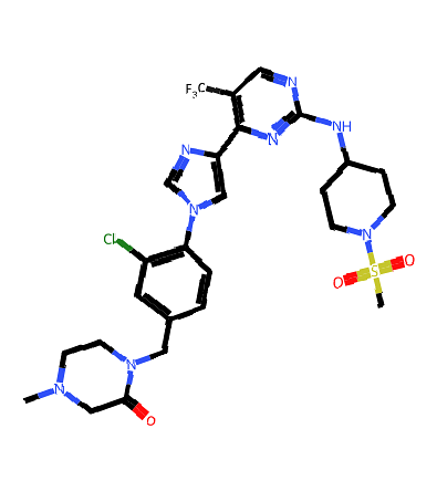 CN1CCN(Cc2ccc(-n3cnc(-c4nc(NC5CCN(S(C)(=O)=O)CC5)ncc4C(F)(F)F)c3)c(Cl)c2)C(=O)C1